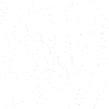 C=CCOC(=O)c1cc(Br)cc(C)c1N